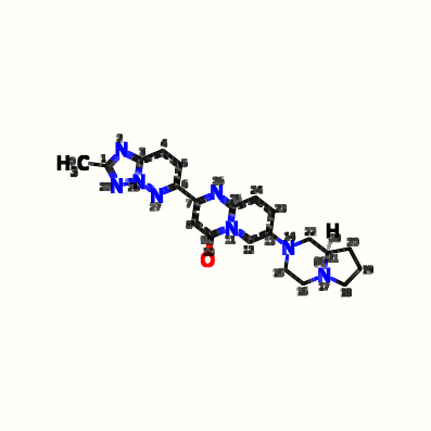 Cc1nc2ccc(-c3cc(=O)n4cc(N5CCN6CCC[C@@H]6C5)ccc4n3)nn2n1